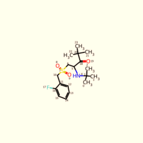 CC(C)(C)NC(CS(=O)(=O)Cc1ccccc1F)C(=O)C(C)(C)C